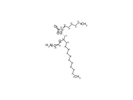 CCCCCCCCCCCC(C[C@@H]1OC(=O)[C@H]1CCCCCC)OC=O.[AlH3]